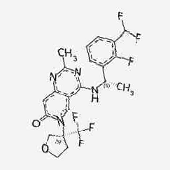 Cc1nc(N[C@@H](C)c2cccc(C(F)F)c2F)c2cn([C@@]3(C(F)(F)F)CCOC3)c(=O)cc2n1